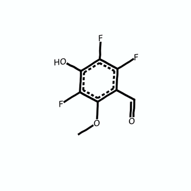 COc1c(F)c(O)c(F)c(F)c1C=O